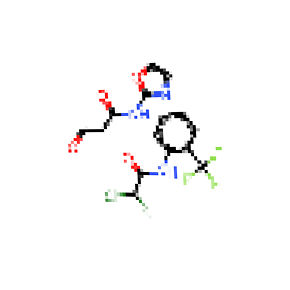 O=C(Nc1ccccc1C(F)(F)F)C(Cl)Cl.O=CCC(=O)Nc1ncco1